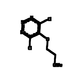 COCCOc1c(Cl)nnnc1Cl